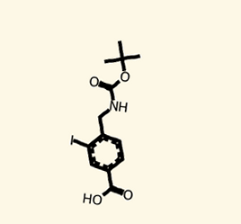 CC(C)(C)OC(=O)NCc1ccc(C(=O)O)cc1I